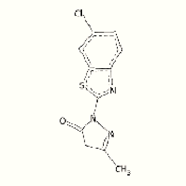 CC1=NN(c2nc3ccc(Cl)cc3s2)C(=O)C1